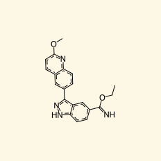 CCOC(=N)c1ccc2[nH]nc(-c3ccc4nc(OC)ccc4c3)c2c1